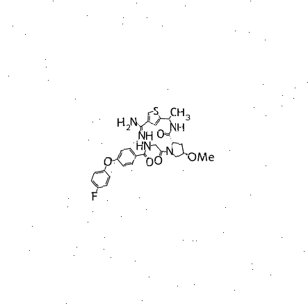 CO[C@@H]1C[C@@H](C(=O)NC(C)c2cc(C(=N)N)cs2)N(C(=O)CNC(=O)c2ccc(Oc3ccc(F)cc3)cc2)C1